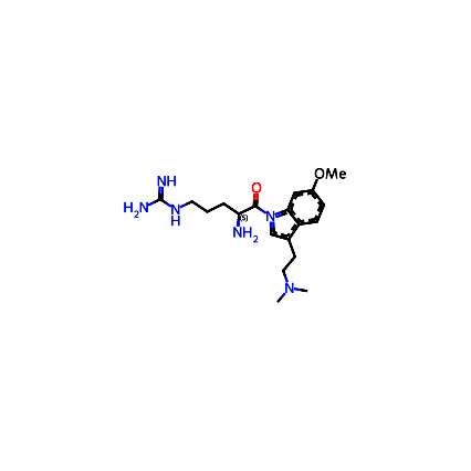 COc1ccc2c(CCN(C)C)cn(C(=O)[C@@H](N)CCCNC(=N)N)c2c1